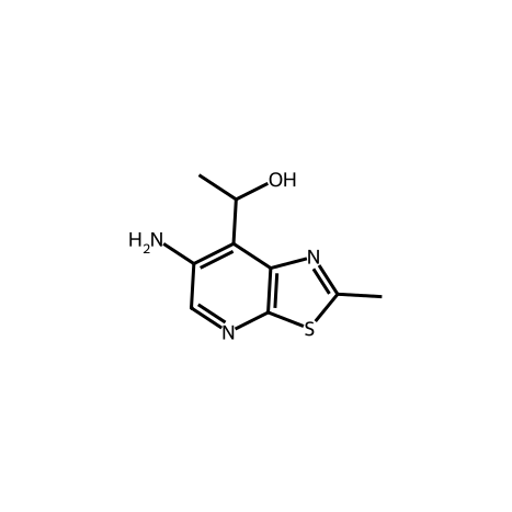 Cc1nc2c(C(C)O)c(N)cnc2s1